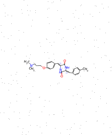 Cc1ccc(/C=c2\[nH]c(=O)/c(=C/c3ccc(OCCCN(C)C)cc3)[nH]c2=O)cc1